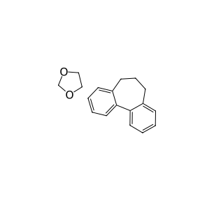 C1COCO1.c1ccc2c(c1)CCCc1ccccc1-2